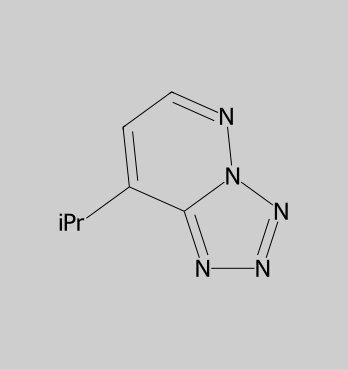 CC(C)c1ccnn2nnnc12